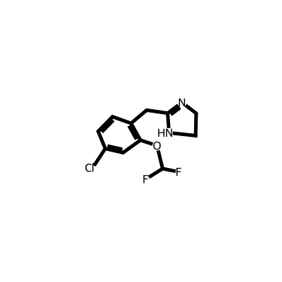 FC(F)Oc1cc(Cl)ccc1CC1=NCCN1